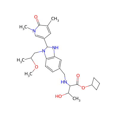 COC(C)CN1c2ccc(CNC(C(=O)OC3CCC3)C(C)O)cc2NC1c1cc(C)c(=O)n(C)c1